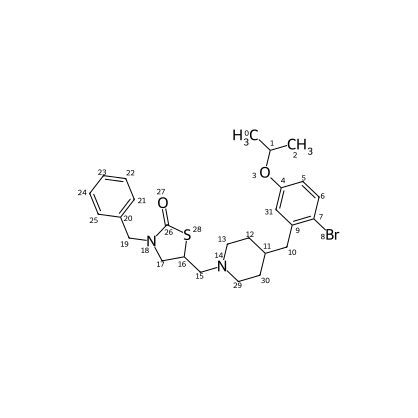 CC(C)Oc1ccc(Br)c(CC2CCN(CC3CN(Cc4ccccc4)C(=O)S3)CC2)c1